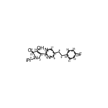 CC(C)N1CC(c2ncc(CCc3ccc(F)cc3)cn2)=C(O)C1=O